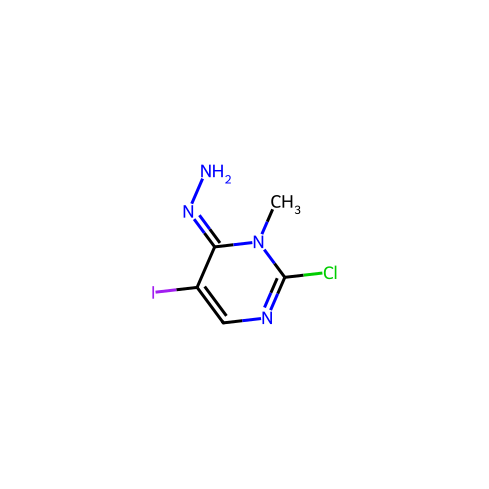 Cn1c(Cl)ncc(I)/c1=N/N